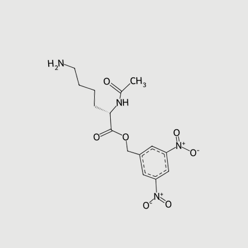 CC(=O)N[C@@H](CCCCN)C(=O)OCc1cc([N+](=O)[O-])cc([N+](=O)[O-])c1